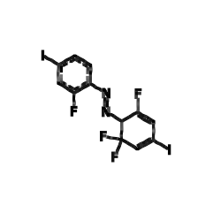 FC1=CC(I)=CC(F)(F)C1N=Nc1ccc(I)cc1F